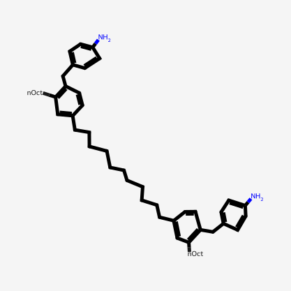 CCCCCCCCc1cc(CCCCCCCCCCCc2ccc(Cc3ccc(N)cc3)c(CCCCCCCC)c2)ccc1Cc1ccc(N)cc1